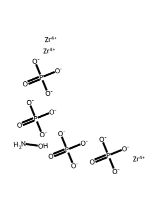 NO.O=P([O-])([O-])[O-].O=P([O-])([O-])[O-].O=P([O-])([O-])[O-].O=P([O-])([O-])[O-].[Zr+4].[Zr+4].[Zr+4]